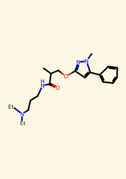 CCN(CC)CCCNC(=O)C(C)COc1cc(-c2ccccc2)n(C)n1